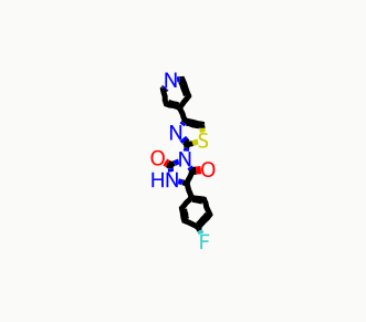 O=C1NC(c2ccc(F)cc2)C(=O)N1c1nc(-c2ccncc2)cs1